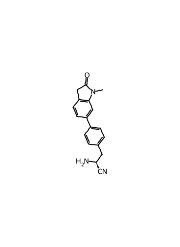 CN1C(=O)Cc2ccc(-c3ccc(C[C@H](N)C#N)cc3)cc21